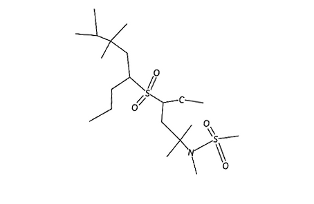 CCCC(CC(C)(C)C(C)C)S(=O)(=O)C(CC)CC(C)(C)N(C)S(C)(=O)=O